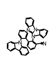 N#Cc1cccc(-c2ccccc2-n2c3ccccc3c3ccccc32)c1-n1c2ccccc2n2c3ccccc3nc12